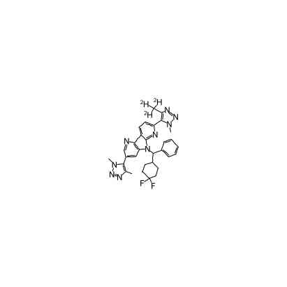 [2H]C([2H])([2H])c1nnn(C)c1-c1ccc2c3ncc(-c4c(C)nnn4C)cc3n(C(c3ccccc3)C3CCC(F)(F)CC3)c2n1